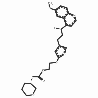 COc1ccc2nccc([C@H](F)CCc3csc(SCCOC(=O)C[C@H]4CCCNC4)c3)c2c1